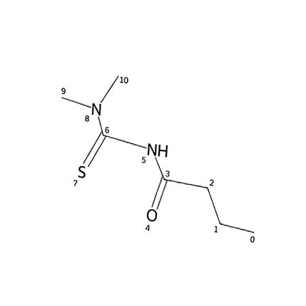 CCCC(=O)NC(=S)N(C)C